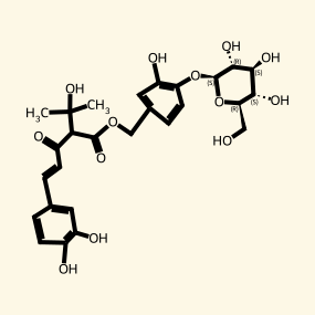 CC(C)(O)C(C(=O)C=Cc1ccc(O)c(O)c1)C(=O)OCc1ccc(O[C@@H]2O[C@H](CO)[C@@H](O)[C@H](O)[C@H]2O)c(O)c1